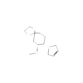 CN[C@H]1CC2(CC[C@@H]1N1CC=CC1)OCCO2